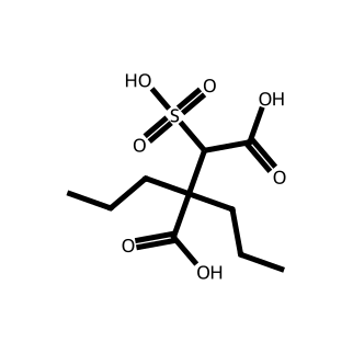 CCCC(CCC)(C(=O)O)C(C(=O)O)S(=O)(=O)O